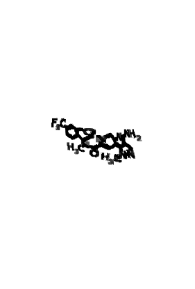 CN(C(=O)c1cc2c(cn1)nc(N)c1cnn(C)c12)[C@@H]1COCc2cc(C(F)(F)F)ccc21